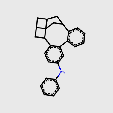 c1ccc(Nc2ccc3c(c2)-c2ccccc2C2CC4CC5CC3C45C2)cc1